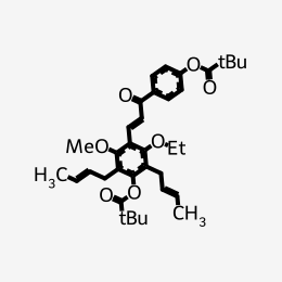 CC=CCc1c(OC)c(C=CC(=O)c2ccc(OC(=O)C(C)(C)C)cc2)c(OCC)c(CC=CC)c1OC(=O)C(C)(C)C